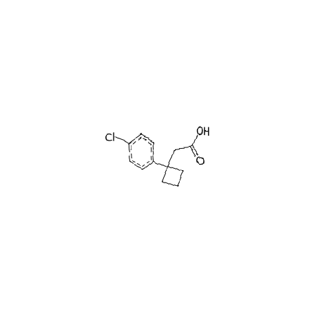 O=C(O)CC1(c2ccc(Cl)cc2)CCC1